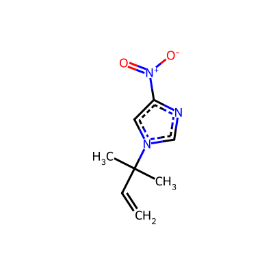 C=CC(C)(C)n1cnc([N+](=O)[O-])c1